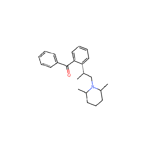 CC(CN1C(C)CCCC1C)c1ccccc1C(=O)c1ccccc1